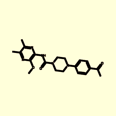 COc1nc(C)c(C)nc1NC(=O)N1CCN(c2ccc(C(C)=O)cc2)CC1